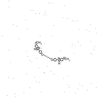 COc1ccc2[nH]c(-c3ccc(OCCCCCCCOc4ccc(-c5nc6cc(OC)ccc6[nH]5)cc4)cc3)nc2c1